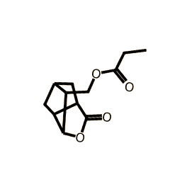 CCC(=O)OCC1C2CC3C(=O)OC1C3C2